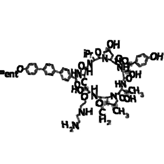 C=C[C@@H]1C2C(=O)NC(OCCNCCN)[C@H](O)CC(NC(=O)c3ccc(-c4ccc(-c5ccc(OCCCCC)cc5)cc4)cc3)C(=O)NC(C(C)C)C(=O)N3C[C@H](O)CC3C(=O)NC([C@H](O)[C@@H](O)c3ccc(O)cc3)C(=O)NC([C@@H](C)O)C(=O)N2C[C@@H]1C